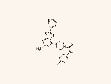 Cc1ccc(N(C)C(=O)N2CCN(c3nc(N)nc4sc(-c5cccnc5)nc34)CC2)cc1